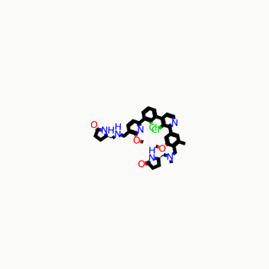 COc1cc(-c2nccc(-c3cccc(-c4ccc(CNC[C@@H]5CCC(=O)N5)c(OC)n4)c3Cl)c2Cl)cc(C)c1CN(C)C[C@@H]1CCC(=O)N1